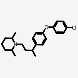 CC(CCN1C(C)CCCC1C)c1ccc(Oc2ccc(Cl)cc2)cc1